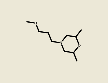 COCCCN1CC(C)OC(C)C1